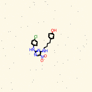 O=[N+]([O-])c1cnc(Nc2ccc(Cl)cc2)nc1NCCCCc1ccc(O)cc1